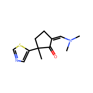 CN(C)C=C1CCC(C)(c2cncs2)C1=O